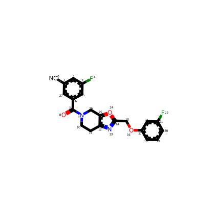 N#Cc1cc(F)cc(C(=O)N2CCc3nc(COc4cccc(F)c4)oc3C2)c1